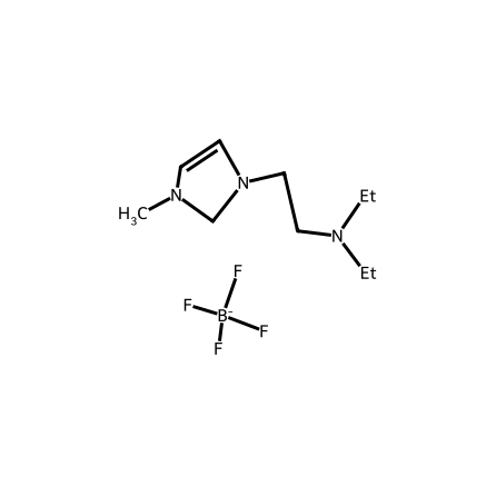 CCN(CC)CCN1C=CN(C)C1.F[B-](F)(F)F